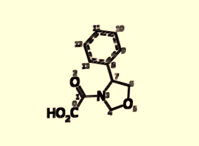 O=C(O)C(=O)N1COCC1c1ccccc1